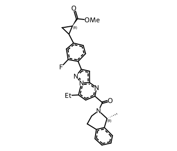 CCc1cc(C(=O)N2CCc3ccccc3[C@H]2C)nc2cc(-c3ccc(C4C[C@H]4C(=O)OC)cc3F)nn12